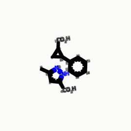 Cc1cc(C(=O)O)[nH]n1.O=C(O)C1CC1c1ccccc1